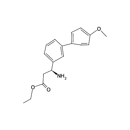 CCOC(=O)C[C@H](N)c1cccc(-c2ccc(OC)cc2)c1